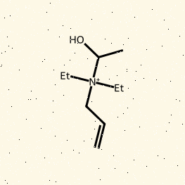 C=CC[N+](CC)(CC)C(C)O